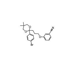 CC1(C)COC(CCCOc2cccc(C#N)c2)(c2ccc(Br)cc2)OC1